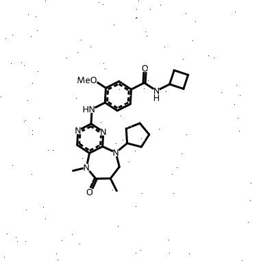 COc1cc(C(=O)NC2CCC2)ccc1Nc1ncc2c(n1)N(C1CCCC1)CC(C)C(=O)N2C